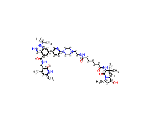 Cc1cc(C)c(CNC(=O)c2cc(-c3ccc(N4CCN(CCNC(=O)CCCCCC(=O)NC(C(=O)N5C[C@H](O)C[C@H]5C)C(C)(C)C)CC4)nc3)cc(NC(C)C)c2C=N)c(=O)[nH]1